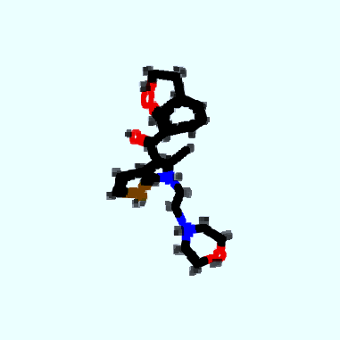 Cc1c(C(=O)c2cccc3c2OCC3)c2ccsc2n1CCN1CCOCC1